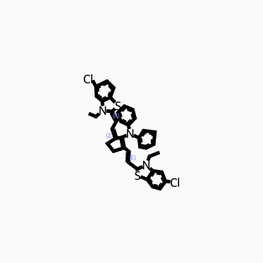 CCN1/C(=C\C=C2\CCC(/C=C/C3Sc4ccc(Cl)cc4N3CC)=C2N(c2ccccc2)c2ccccc2)Sc2ccc(Cl)cc21